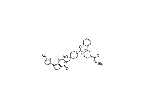 CC(C)(C)OC(=O)N1CC[C@@H](C(=O)N2CCC(O)(Cn3cnc4c(ccn4-c4ccc(Cl)s4)c3=O)CC2)[C@H](c2ccccc2)C1